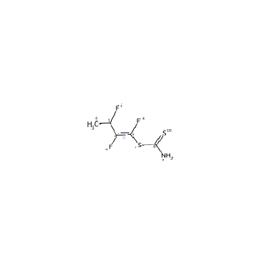 CC(F)/C(F)=C(\F)SC(N)=S